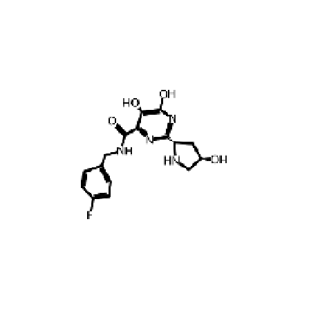 O=C(NCc1ccc(F)cc1)c1nc([C@@H]2C[C@@H](O)CN2)nc(O)c1O